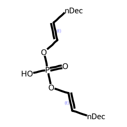 CCCCCCCCCC/C=C/OP(=O)(O)O/C=C/CCCCCCCCCC